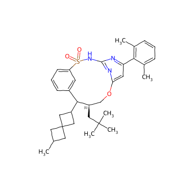 Cc1cccc(C)c1-c1cc2nc(n1)NS(=O)(=O)c1cccc(c1)C(C1CC3(CC(C)C3)C1)[C@H](CC(C)(C)C)CO2